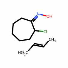 CC=CC(=O)O.ON=C1CCCCCC1Cl